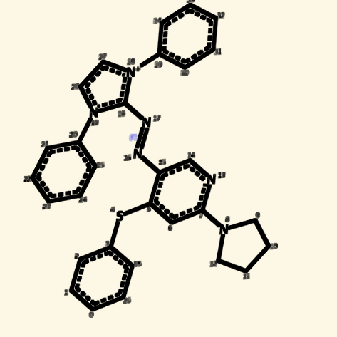 c1ccc(Sc2cc(N3CCCC3)ncc2/N=N/c2n(-c3ccccc3)cc[n+]2-c2ccccc2)cc1